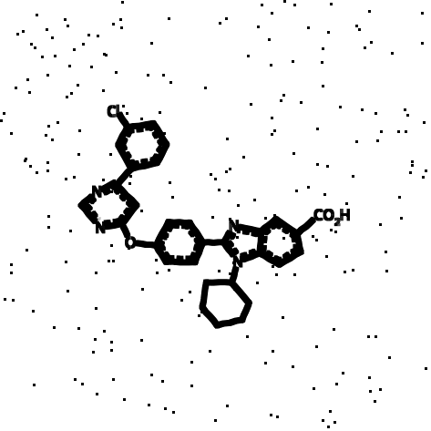 O=C(O)c1ccc2c(c1)nc(-c1ccc(Oc3cc(-c4cccc(Cl)c4)ncn3)cc1)n2C1CCCCC1